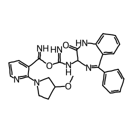 COC1CCN(c2ncccc2C(=N)OC(=N)NC2N=C(c3ccccc3)c3ccccc3NC2=O)C1